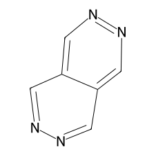 c1nncc2cnncc12